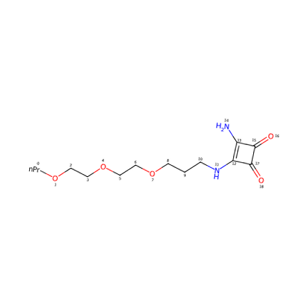 CCCOCCOCCOCCCNc1c(N)c(=O)c1=O